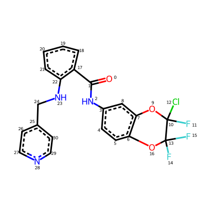 O=C(Nc1ccc2c(c1)OC(F)(Cl)C(F)(F)O2)c1ccccc1NCc1ccncc1